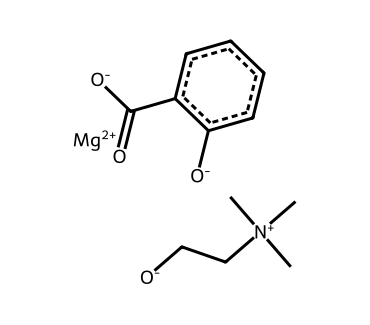 C[N+](C)(C)CC[O-].O=C([O-])c1ccccc1[O-].[Mg+2]